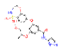 COC[C@H](C)Oc1cc(Oc2ccc3c(c2)OCCNS3(O)O)cc(C(=O)Nc2cc[nH]n2)c1